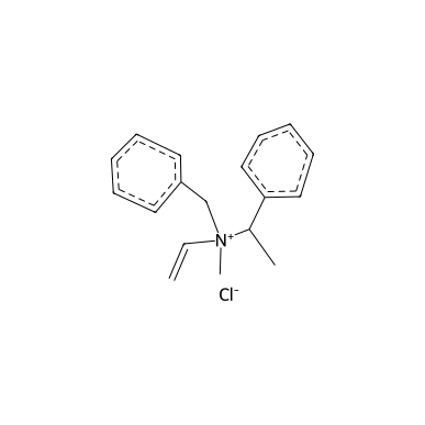 C=C[N+](C)(Cc1ccccc1)C(C)c1ccccc1.[Cl-]